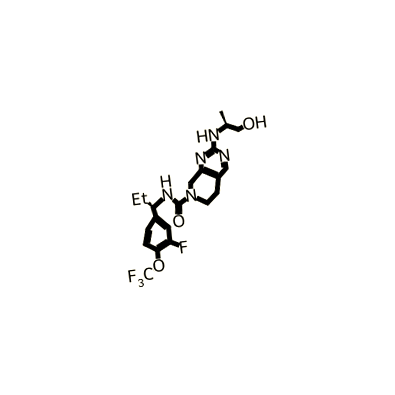 CC[C@@H](NC(=O)N1CCc2cnc(N[C@@H](C)CO)nc2C1)c1ccc(OC(F)(F)F)c(F)c1